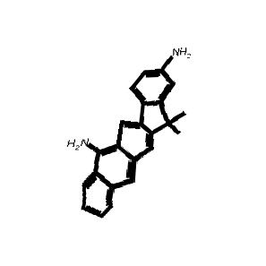 CC1(C)c2cc(N)ccc2-c2cc3c(N)c4ccccc4cc3cc21